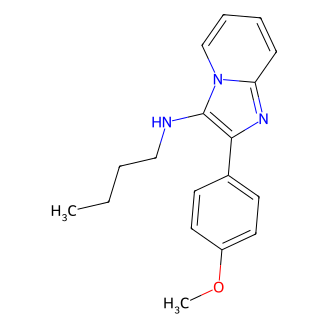 CCCCNc1c(-c2ccc(OC)cc2)nc2ccccn12